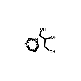 OCC(O)CO.c1cncnc1